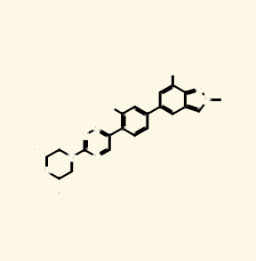 C[C@@H]1CN(c2ncc(-c3ccc(-c4cc(F)c5nn(C)cc5c4)cc3O)nn2)C[C@H](C)N1